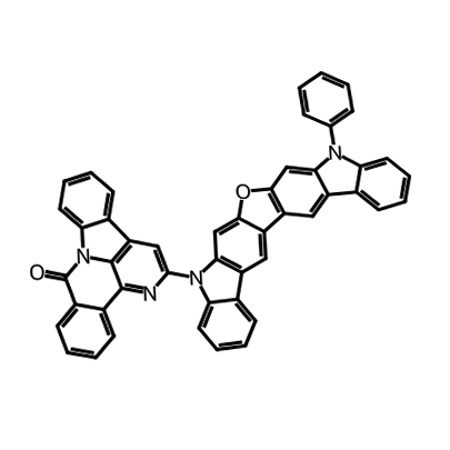 O=c1c2ccccc2c2nc(-n3c4ccccc4c4cc5c(cc43)oc3cc4c(cc35)c3ccccc3n4-c3ccccc3)cc3c4ccccc4n1c32